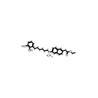 C.CCOC(=O)Cc1ccc2cc(OCCCCCCc3cccc(O)c3O)ccc2c1